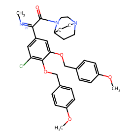 C/N=C(\C(=O)N1CCN2CCC1CC2)c1cc(Cl)c(OCc2ccc(OC)cc2)c(OCc2ccc(OC)cc2)c1